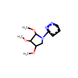 COC1CN(c2cc[c]nn2)C(OC)C1OC